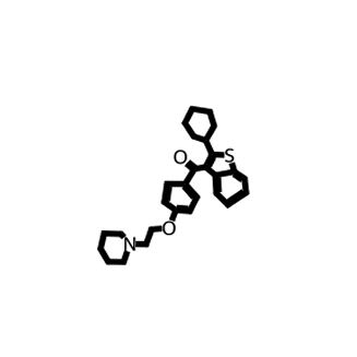 O=C(c1ccc(OCCN2CCCCC2)cc1)c1c(C2CCCCC2)sc2ccccc12